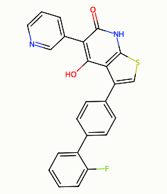 O=c1[nH]c2scc(-c3ccc(-c4ccccc4F)cc3)c2c(O)c1-c1cccnc1